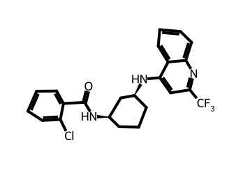 O=C(N[C@@H]1CCC[C@H](Nc2cc(C(F)(F)F)nc3ccccc23)C1)c1ccccc1Cl